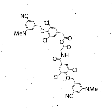 CNc1cc(C#N)cc(COc2c(Cl)cc(CC(=O)OC(=O)CNC(=O)c3cc(Cl)c(OCc4cc(C#N)cc(NC)c4)c(Cl)c3)cc2Cl)c1